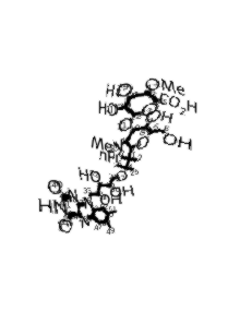 CCCC(C)(C1OC(CO)C(O)C(OC2OC(C(=O)O)C(OC)C(O)C2O)C1NC)C(C)(C)OCC(O)C(O)C(O)Cn1c2nc(=O)[nH]c(=O)c-2nc2cc(C)c(C)cc21